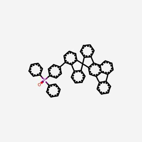 O=P(c1ccccc1)(c1ccccc1)c1ccc(-c2cccc3c2-c2ccccc2C32c3ccccc3-c3c2cc2c4c(cccc34)-c3ccccc3-2)cc1